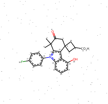 CC1(C)C(=O)CC2(CC(C(=O)O)C2)c2c1n(-c1ccc(F)cc1)c1cccc(O)c21